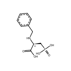 O=C(O)[C@H](CP(=O)(O)O)NCc1ccccc1